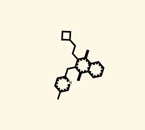 C=c1c(CCC2CCC2)c(Cc2ccc(C)cn2)c(=C)c2ccccc12